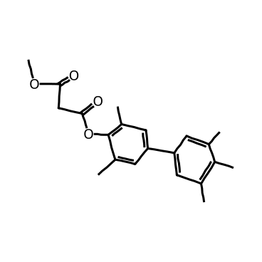 COC(=O)CC(=O)Oc1c(C)cc(-c2cc(C)c(C)c(C)c2)cc1C